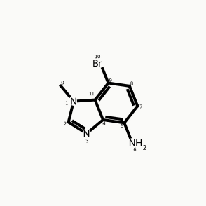 Cn1cnc2c(N)ccc(Br)c21